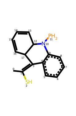 C/C(S)=C1/c2ccccc2N(P)C2C=CC=CC12